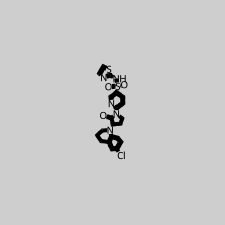 O=C1[C@@H](N2CCCc3cc(Cl)ccc32)CCN1c1ccc(S(=O)(=O)Nc2nccs2)cn1